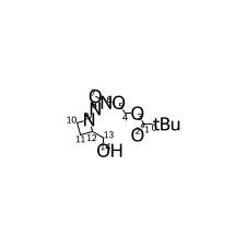 CC(C)(C)C(=O)OCOn1on1N1CCC1CO